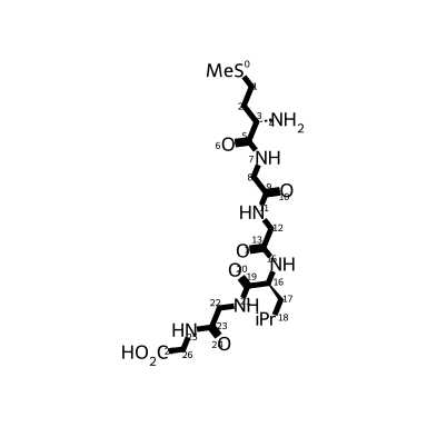 CSCC[C@H](N)C(=O)NCC(=O)NCC(=O)N[C@@H](CC(C)C)C(=O)NCC(=O)NCC(=O)O